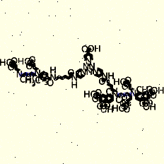 CC(/C=C/C=C(\C)N(CCCS(=O)(=O)O)c1ccc(C(=O)NCCCCCC(=O)NC2CCN(c3nc(N4CCC(NC(=O)CCCCCN(/C(C)=C/C=C/C(CCCS(=O)(=O)O)=[N+](\CCCS(=O)(=O)O)c5ccc6c(S(=O)(=O)O)cc(S(=O)(=O)O)cc6c5C)c5ccc6c(S(=O)(=O)O)cc(S(=O)(=O)O)cc6c5C)CC4)nc(N4CCC(C(=O)O)CC4)n3)CC2)cc1C)=N/CCCS(=O)(=O)O